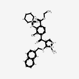 CCOC(=O)c1ccc(C(=O)c2cnn(C)c2OCc2ccc3ccccc3c2)c(Cl)c1N=S1(=O)CCCCC1